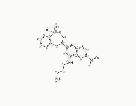 C[S+]([O-])c1ccc2nc(N3CCS(O)(O)c4ccccc4C3)cc(NCCCN)c2c1